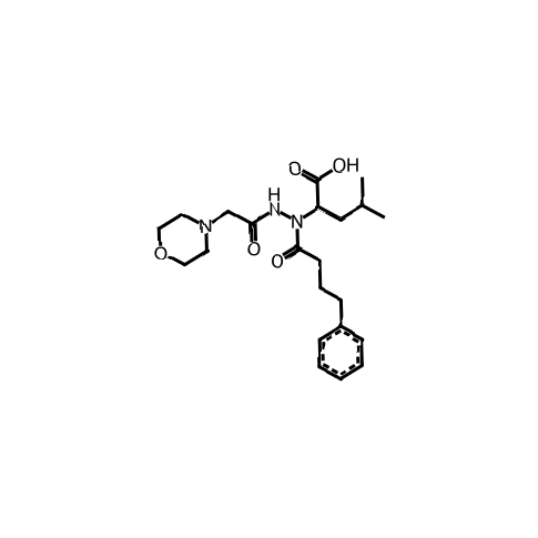 CC(C)CC(C(=O)O)N(NC(=O)CN1CCOCC1)C(=O)CCCc1ccccc1